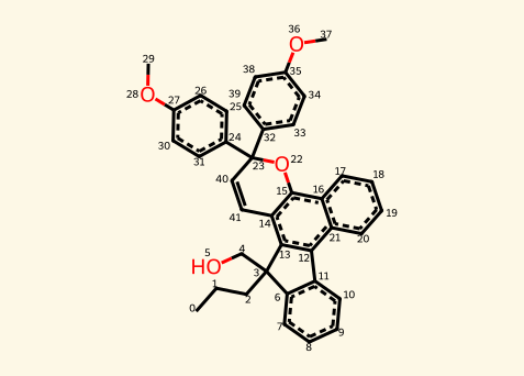 CCCC1(CO)c2ccccc2-c2c1c1c(c3ccccc23)OC(c2ccc(OC)cc2)(c2ccc(OC)cc2)C=C1